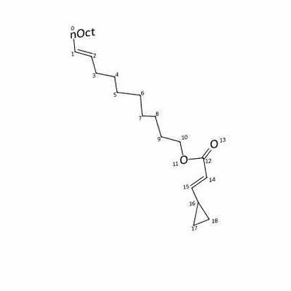 CCCCCCCCC=CCCCCCCCCOC(=O)C=CC1CC1